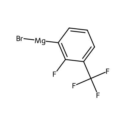 Fc1[c]([Mg][Br])cccc1C(F)(F)F